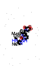 COCCNc1cc(NC(=O)N2CCCc3cc(CN4CCS(=O)(=O)CC4=O)c(C(OC)OC)nc32)ncc1C#N